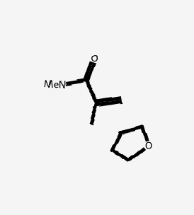 C1CCOC1.C=C(C)C(=O)NC